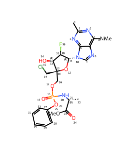 CNc1nc(C)nc2c1ncn2[C@@H]1O[C@](CCl)(COP(=O)(N[C@H](C)C(=O)OC)Oc2ccccc2)[C@@H](O)[C@H]1F